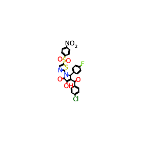 O=C(C1=C(O)C(=O)N(c2ncc(S(=O)(=O)c3ccc([N+](=O)[O-])cc3)s2)C1c1ccc(F)cc1)c1ccc(Cl)cc1